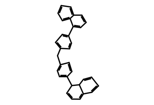 C1=CC2=CC=CC(c3ccc(Cc4ccc(-c5cccc6ccccc56)cc4)cc3)C2C=C1